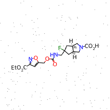 CCOC(=O)c1cc(COC(=O)NCC2(F)C[C@H]3CN(C(=O)O)C[C@H]3C2)on1